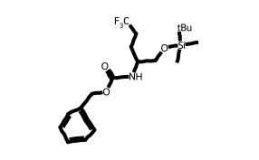 CC(C)(C)[Si](C)(C)OCC(CCC(F)(F)F)NC(=O)OCc1ccccc1